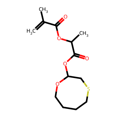 C=C(C)C(=O)OC(C)C(=O)OC1CSCCCCO1